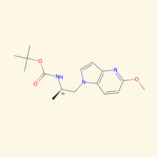 COc1ccc2c(ccn2C[C@@H](C)NC(=O)OC(C)(C)C)n1